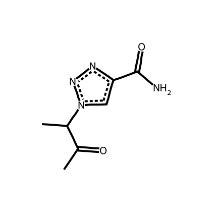 CC(=O)C(C)n1cc(C(N)=O)nn1